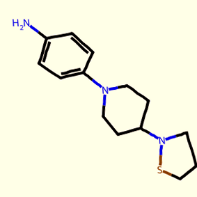 Nc1ccc(N2CCC(N3CCCS3)CC2)cc1